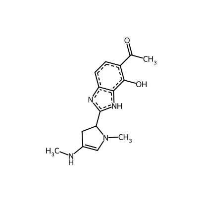 CNC1=CN(C)C(c2nc3ccc(C(C)=O)c(O)c3[nH]2)C1